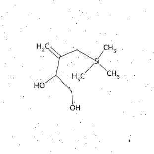 C=C(C[Si](C)(C)C)C(O)CO